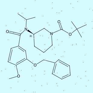 COc1ccc(C(=O)N(C(C)C)[C@@H]2CCCN(C(=O)OC(C)(C)C)C2)cc1OCc1ccccc1